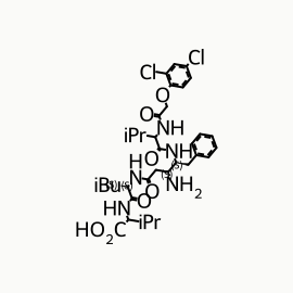 CC[C@H](C)[C@H](NC(=O)C[C@H](N)[C@H](Cc1ccccc1)NC(=O)C(NC(=O)COc1ccc(Cl)cc1Cl)C(C)C)C(=O)NC(C(=O)O)C(C)C